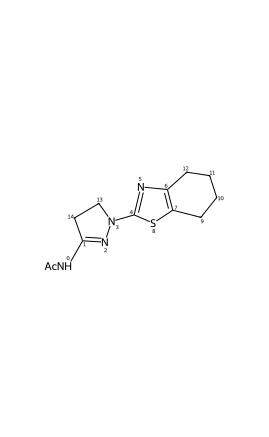 CC(=O)NC1=NN(c2nc3c(s2)CCCC3)CC1